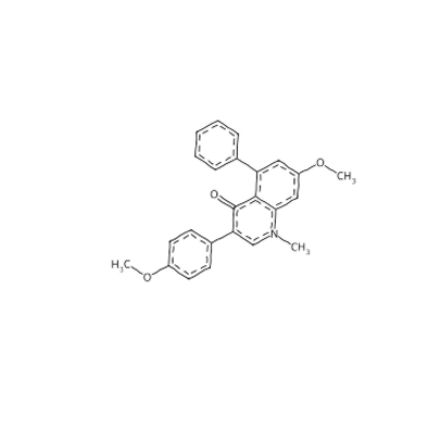 COc1ccc(-c2cn(C)c3cc(OC)cc(-c4ccccc4)c3c2=O)cc1